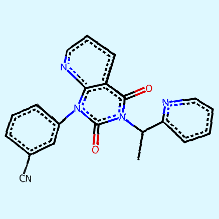 CC(c1ccccn1)n1c(=O)c2cccnc2n(-c2cccc(C#N)c2)c1=O